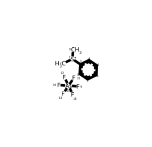 C[S+](C)c1ccccc1.F[As-](F)(F)(F)(F)F